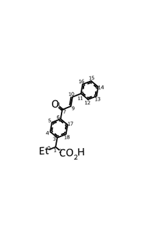 CCC(C(=O)O)c1ccc(C(=O)C=Cc2ccccc2)cc1